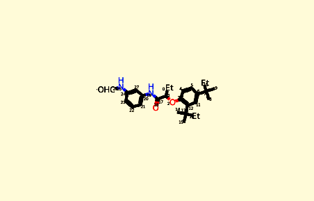 CCC(Oc1ccc(C(C)(C)CC)cc1C(C)(C)CC)C(=O)Nc1cccc(N[C]=O)c1